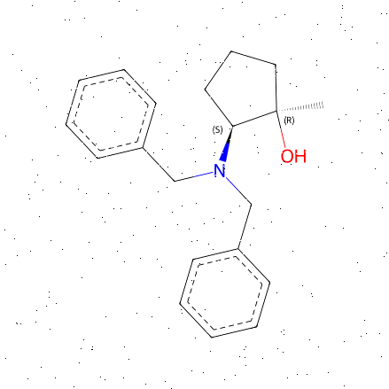 C[C@@]1(O)CCC[C@@H]1N(Cc1ccccc1)Cc1ccccc1